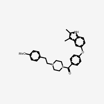 COc1ccc(CCN2CCN(C(=O)c3ccc(Oc4ccc5[nH]c(C)c(C)c5c4)cc3)CC2)cc1